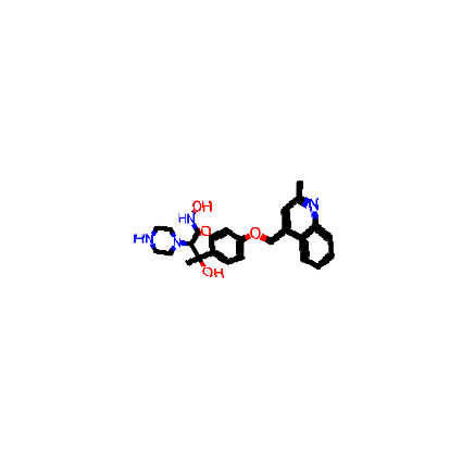 Cc1cc(COc2ccc(C(C)(O)C(C(=O)NO)N3CCNCC3)cc2)c2ccccc2n1